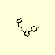 Cc1ncsc1CCOc1cncc(N2CCNCC2)n1